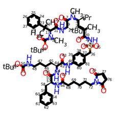 C/C(=C\[C@H](C(C)C)N(C)C(=O)[C@@H](NC(=O)[C@@H](N(C)C(=O)OC(C)(C)C)C(C)(C)c1ccccc1)C(C)(C)C)C(=O)NS(=O)(=O)Cc1ccc(NC(=O)[C@H](CCCCNC(=O)OC(C)(C)C)NC(=O)[C@H](Cc2ccccc2)NC(=O)CCCCCN2C(=O)C=CC2=O)cc1